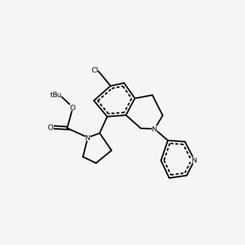 CC(C)(C)OC(=O)N1CCCC1c1cc(Cl)cc2c1CN(c1cccnc1)CC2